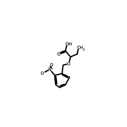 CCC(OCc1ccccc1[N+](=O)[O-])C(=O)O